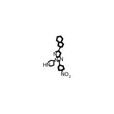 O=[N+]([O-])c1ccc(-c2nc3cc(-c4ccc5ccccc5c4)cnc3n2C2CCNCC2)cc1